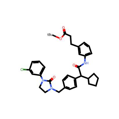 CC(C)(C)OC(=O)CCc1cccc(NC(=O)C(c2ccc(CN3CCN(c4cccc(Cl)c4)C3=O)cc2)C2CCCC2)c1